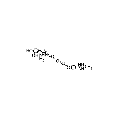 Cc1nnc(-c2ccc(OCCOCCOCCOCCNC(=O)C(N)=Cc3ccc(O)c(O)c3)cc2)nn1